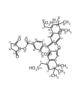 CN1c2cc3c(cc2C(CS(=O)(=O)O)=CC1(C)C)C(c1ccc(C(=O)ON2C(=O)CCC2=O)cc1C(=O)O)=c1cc2c(cc1O3)=[N+](C)C(C)(C)C=C2CS(=O)(=O)O